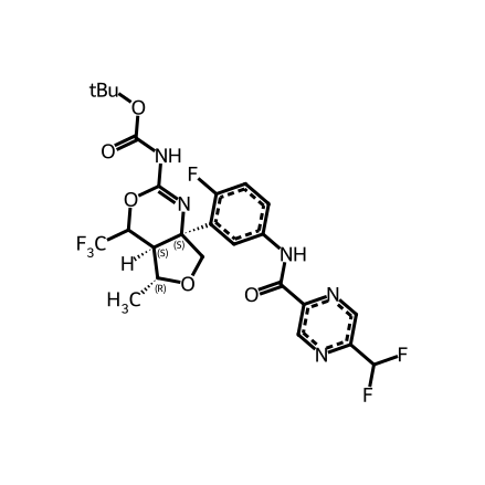 C[C@H]1OC[C@]2(c3cc(NC(=O)c4cnc(C(F)F)cn4)ccc3F)N=C(NC(=O)OC(C)(C)C)OC(C(F)(F)F)[C@H]12